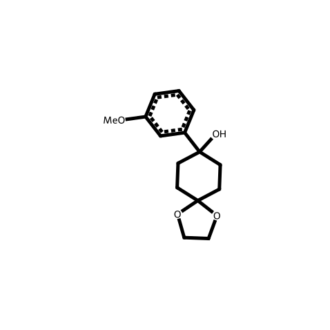 COc1cccc(C2(O)CCC3(CC2)OCCO3)c1